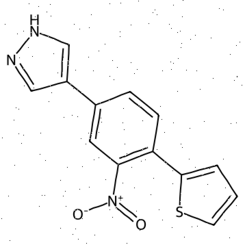 O=[N+]([O-])c1cc(-c2cn[nH]c2)ccc1-c1cccs1